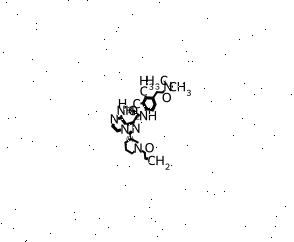 C=CC(=O)N1CCC[C@@H](c2nc(C(=O)Nc3ccc(CC(=O)N(C)C)c(C)c3C)c3c(N)nccn23)C1